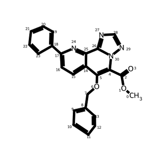 COC(=O)c1c(OCc2ccccc2)c2ccc(-c3ccccc3)nc2c2ncnn12